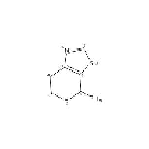 [2H]C1CCCc2ncsc21